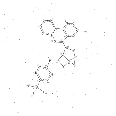 Cc1cnc(-c2ncccn2)c(C(=O)N2CC3CC34CC(Oc3cnc(C(F)(F)F)cn3)C24)c1